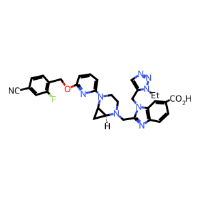 CCn1nncc1Cn1c(CN2CCN(c3cccc(OCc4ccc(C#N)cc4F)n3)C3C[C@@H]32)nc2ccc(C(=O)O)cc21